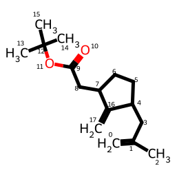 C=C(C)CC1CCC(CC(=O)OC(C)(C)C)C1=C